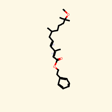 COC(C)(C)CCCC(C)C/C=C/C(C)=C/C(=O)OCCc1ccccc1